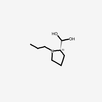 CCCN1CCC[C@H]1C(O)O